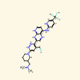 CN(C)CC1CCCN(c2cc(CF)c(-c3cnc4c(Nc5ccc(C(F)(F)F)cn5)ccnc4n3)nn2)C1